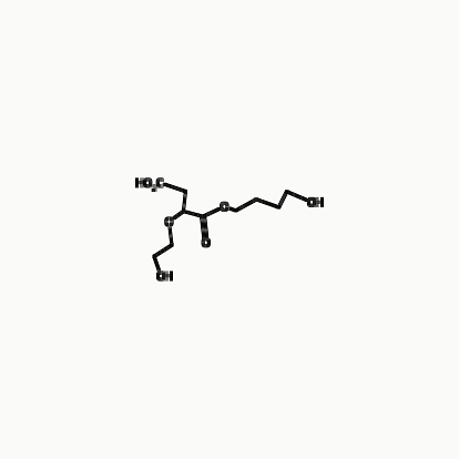 O=C(O)CC(OCCO)C(=O)OCCCCO